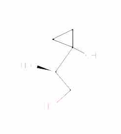 C[C@H](CO)C1(C)CC1